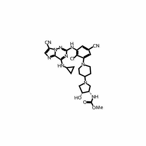 COC(=O)N[C@H]1CN(C2CCN(c3cc(C#N)cc(Nc4nc(NC5CC5)c5ncc(C#N)n5n4)c3Cl)CC2)C[C@H]1O